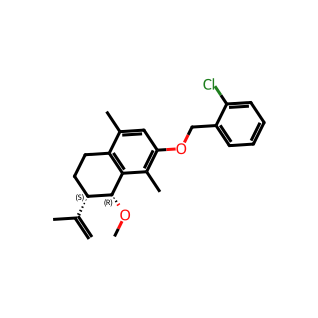 C=C(C)[C@@H]1CCc2c(C)cc(OCc3ccccc3Cl)c(C)c2[C@@H]1OC